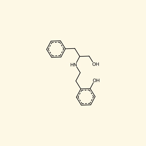 OCC(Cc1ccccc1)NCCc1ccccc1O